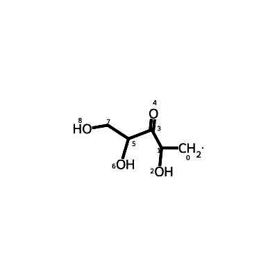 [CH2]C(O)C(=O)C(O)CO